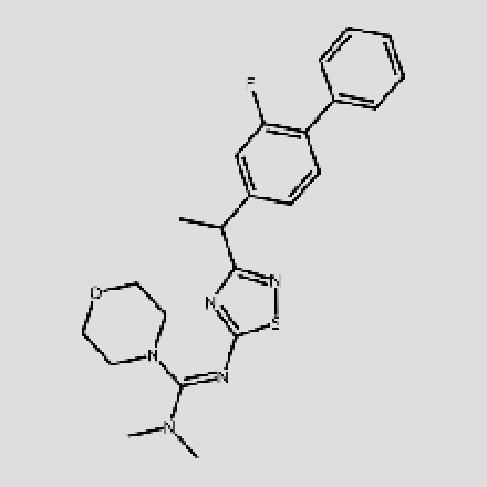 CC(c1ccc(-c2ccccc2)c(F)c1)c1nsc(N=C(N(C)C)N2CCOCC2)n1